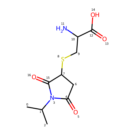 CC(C)N1C(=O)CC(SCC(N)C(=O)O)C1=O